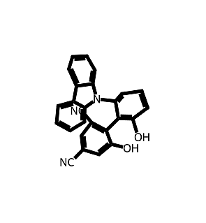 N#Cc1cc(O)c(-c2c(O)cccc2-n2c3ccccc3c3ccccc32)c(C#N)c1